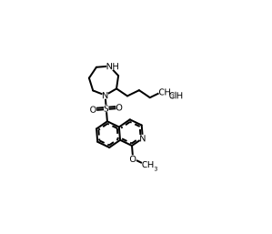 CCCCC1CNCCCN1S(=O)(=O)c1cccc2c(OC)nccc12.Cl